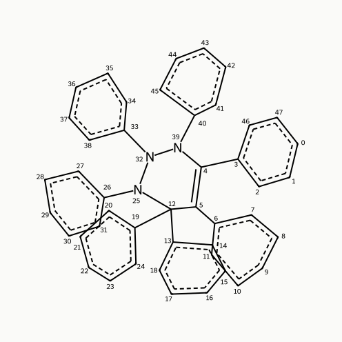 c1ccc(C2=C(c3ccccc3)C(c3ccccc3)(c3ccccc3)N(c3ccccc3)N(c3ccccc3)N2c2ccccc2)cc1